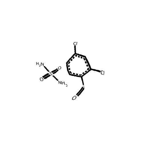 NS(N)(=O)=O.O=Ic1ccc(Cl)cc1Cl